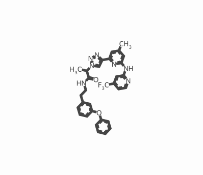 Cc1cc(Nc2cc(C(F)(F)F)ccn2)nc(-c2cn(C(C)C(=O)NCCc3cccc(Oc4ccccc4)c3)nn2)c1